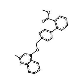 COC(=O)c1ccccc1-c1ccc(COc2cc(C)nc3ccccc23)cc1